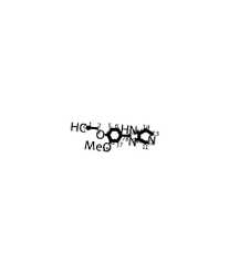 C#CCOc1ccc(-c2nc3cnccc3[nH]2)cc1OC